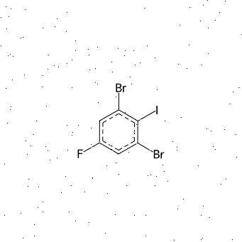 Fc1cc(Br)c(I)c(Br)c1